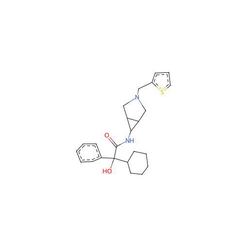 O=C(NC1C2CN(Cc3cccs3)CC21)C(O)(c1ccccc1)C1CCCCC1